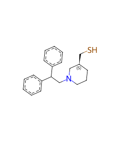 SC[C@H]1CCCN(CC(c2ccccc2)c2ccccc2)C1